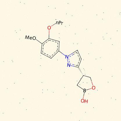 CCCOc1cc(-n2ccc([C@@H]3COB(O)C3)n2)ccc1OC